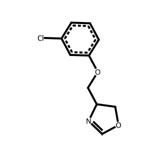 Clc1cccc(OCC2CO[C]=N2)c1